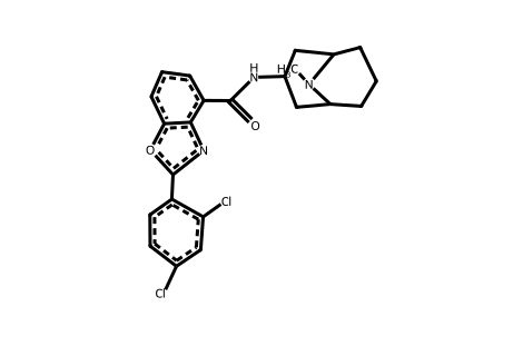 CN1C2CCCC1CC(NC(=O)c1cccc3oc(-c4ccc(Cl)cc4Cl)nc13)C2